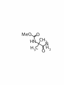 COC(=O)NC(C)(C)C(N)=O